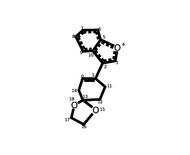 C1=C(c2coc3ccccc23)CCC2(C1)OCCO2